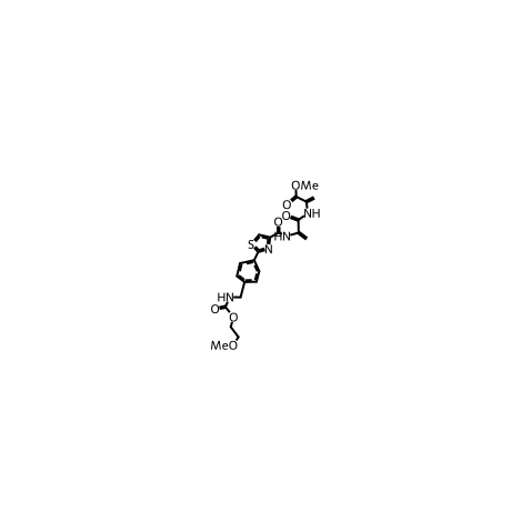 C=C(NC(=O)c1csc(-c2ccc(CNC(=O)OCCOC)cc2)n1)C(=O)NC(=C)C(=O)OC